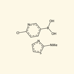 CNc1nccs1.OB(O)c1ccc(Cl)nc1